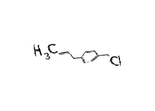 CC=CCc1ccc(CCl)cc1